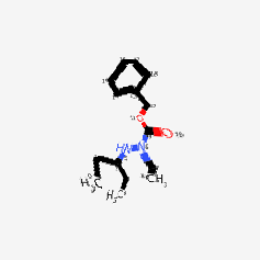 CCC(CC)NN(CC)C(=O)OCc1ccccc1